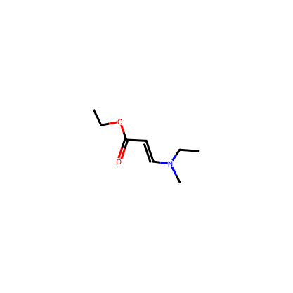 CCOC(=O)/C=C/N(C)CC